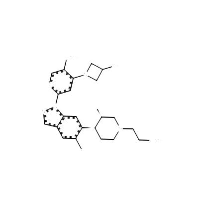 COCCN1CC[C@@H](c2cc3c(cnn3-c3cc(N4CC(O)C4)c(OC)cn3)cc2C)[C@@H](F)C1